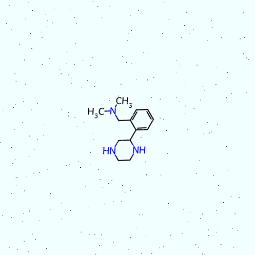 CN(C)Cc1ccccc1C1CNCCN1